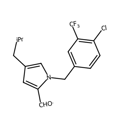 CC(C)Cc1cc([C]=O)n(Cc2ccc(Cl)c(C(F)(F)F)c2)c1